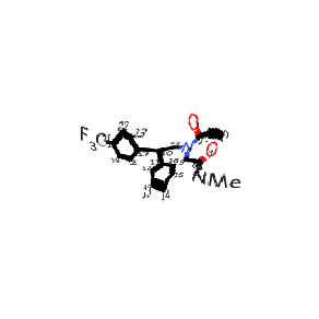 C#CC(=O)N(CC(=O)NC)CC(c1ccccc1)c1ccc(C(F)(F)F)cc1